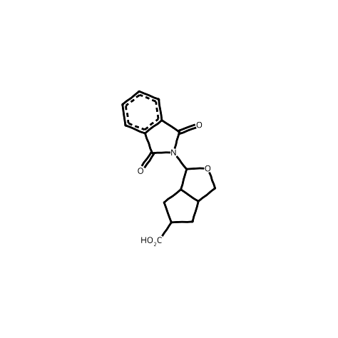 O=C(O)C1CC2COC(N3C(=O)c4ccccc4C3=O)C2C1